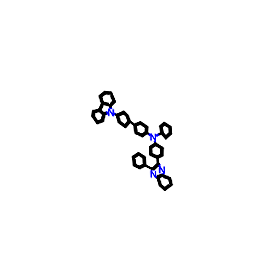 c1ccc(-c2nc3ccccc3nc2-c2ccc(N(c3ccccc3)c3ccc(-c4ccc(-n5c6ccccc6c6ccccc65)cc4)cc3)cc2)cc1